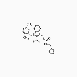 Cc1ccc(C)c(Cn2c(C(F)F)c(CCC(=O)NCc3ccco3)c3ccccc32)c1